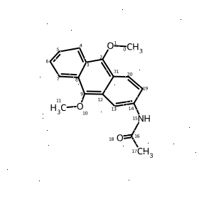 COc1c2ccccc2c(OC)c2cc(NC(C)=O)ccc12